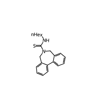 CCCCCCNC(=S)N1Cc2ccccc2-c2ccccc2C1